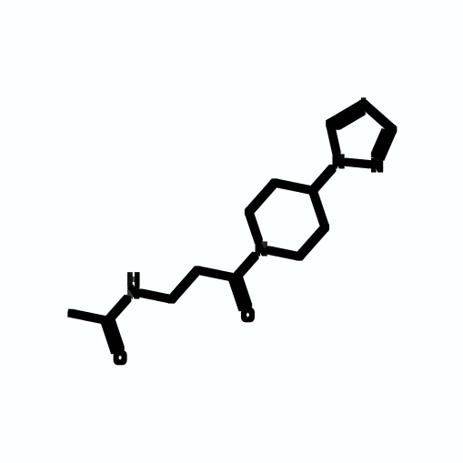 CC(=O)NCCC(=O)N1CCC(n2c[c]cn2)CC1